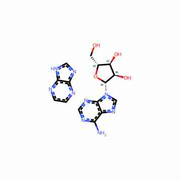 Nc1ncnc2c1ncn2[C@@H]1O[C@H](CO)[C@@H](O)[C@H]1O.c1cnc2[nH]cnc2n1